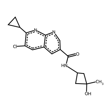 CC1(O)CC(NC(=O)c2cnc3nc(C4CC4)c(Cl)cc3c2)C1